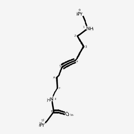 CC(C)NCCC#CCCNC(=O)C(C)C